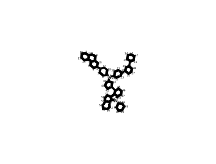 C1=CC(c2ccc3c(ccc4ccccc43)c2)CC=C1N(c1ccc(-c2cccc(-c3ccccc3)c2)cc1)c1cccc(-c2cccc3c2c2ccc4ccccc4c2n3-c2ccccc2)c1